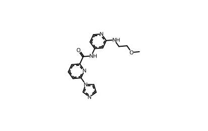 COCCNc1cc(NC(=O)c2cccc(-n3ccnc3)n2)ccn1